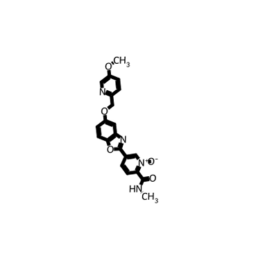 CNC(=O)c1ccc(-c2nc3cc(OCc4ccc(OC)cn4)ccc3o2)c[n+]1[O-]